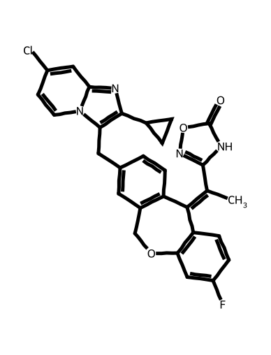 C/C(=C1/c2ccc(Cc3c(C4CC4)nc4cc(Cl)ccn34)cc2COc2cc(F)ccc21)c1noc(=O)[nH]1